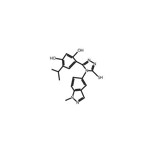 CC(C)c1cc(-c2nnc(S)n2-c2ccc3c(cnn3C)c2)c(O)cc1O